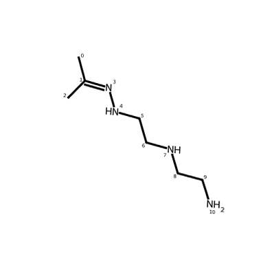 CC(C)=NNCCNCCN